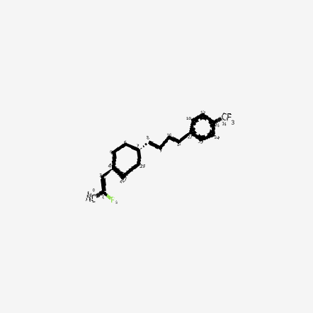 N#C/C(F)=C/[C@H]1CC[C@H](CCCCc2ccc(C(F)(F)F)cc2)CC1